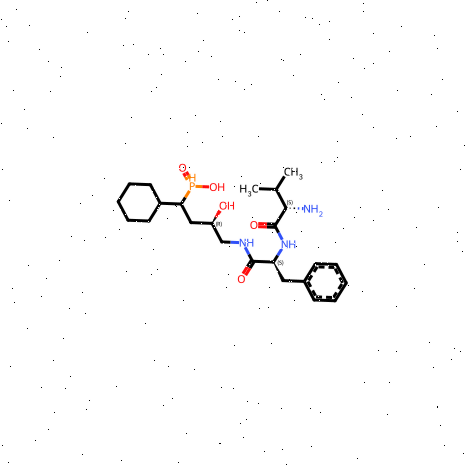 CC(C)[C@H](N)C(=O)N[C@@H](Cc1ccccc1)C(=O)NC[C@H](O)CC(C1CCCCC1)[PH](=O)O